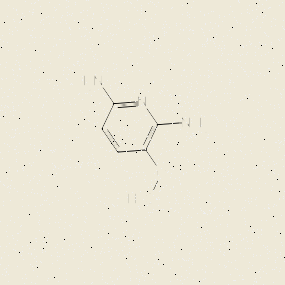 COc1ccc(N)nc1N